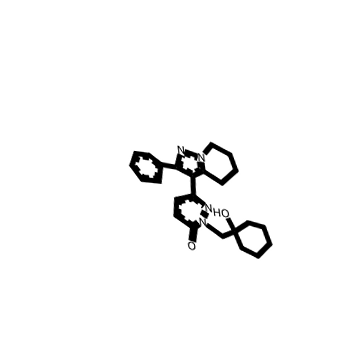 O=c1ccc(-c2c(-c3ccccc3)nn3c2CCCC3)nn1CC1(O)CCCCC1